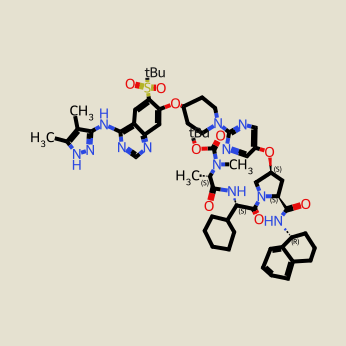 Cc1[nH]nc(Nc2ncnc3cc(OC4CCN(c5ncc(O[C@H]6C[C@@H](C(=O)N[C@@H]7CCCc8ccccc87)N(C(=O)[C@@H](NC(=O)[C@H](C)N(C)C(=O)OC(C)(C)C)C7CCCCC7)C6)cn5)CC4)c(S(=O)(=O)C(C)(C)C)cc23)c1C